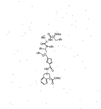 CCCO[C@H](CC(C(C)C)N(CCC)C(=O)[C@@H](NC(=O)[C@H](CC(C)C)NC)[C@@H](C)CC)c1nc(C(=O)N[C@H]2Cc3ccccc3[C@H](C(=O)OC)C2)cs1